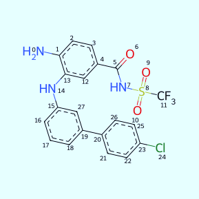 Nc1ccc(C(=O)NS(=O)(=O)C(F)(F)F)cc1Nc1cccc(-c2ccc(Cl)cc2)c1